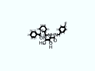 O=C(NCc1ccc(F)cc1)c1nc(C2CCCCN2C(=O)c2ccccc2)nc(O)c1O